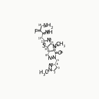 Cn1ccc(Cn2ncc3c4sc(CC(=N)/C(F)=C\N)nc4n(C)c3c2=O)n1